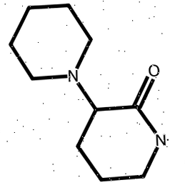 O=C1[N]CCCC1N1CCCCC1